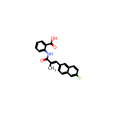 C/C(=C\c1ccc2cc(F)ccc2c1)C(=O)Nc1ccccc1C(=O)O